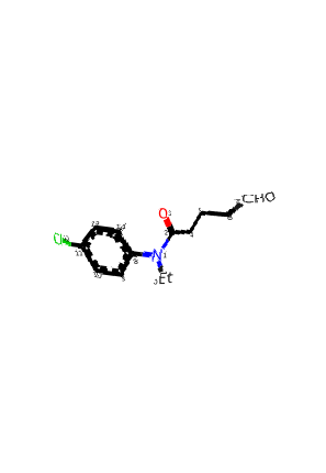 CCN(C(=O)CCCC=O)c1ccc(Cl)cc1